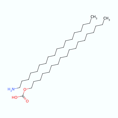 CCCCCCCCCCCCCCCCCCN.CCCCCCCCCCCCCCCCCCOC(=O)O